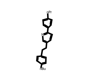 CCCCc1ccc(CCc2ccc(-c3ccc(CCC)cc3)nc2)cc1